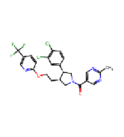 Cc1ncc(C(=O)N2C[C@@H](CCOc3ccc(C(F)(F)F)cn3)[C@@H](c3ccc(Cl)c(Cl)c3)C2)cn1